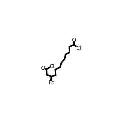 CCC(CCCCCCCCC(=O)Cl)CC(=O)Cl